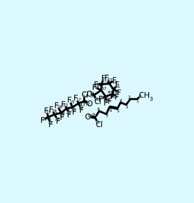 CCCCCC=CCCC(=O)Cl.O=C(Cl)C(F)(F)C(F)(F)C(F)(F)C(F)(F)C(F)(F)C(F)(F)F.O=C(Cl)C1(F)C(F)(F)C(F)(F)C(F)(F)C(F)(F)C1(F)F